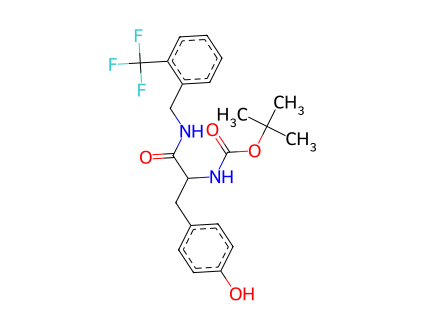 CC(C)(C)OC(=O)NC(Cc1ccc(O)cc1)C(=O)NCc1ccccc1C(F)(F)F